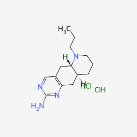 CCCN1CCC[C@H]2Cc3nc(N)ncc3C[C@@H]21.Cl.Cl